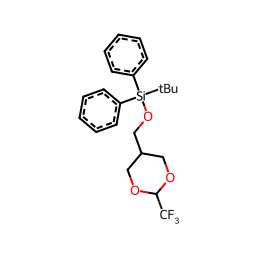 CC(C)(C)[Si](OCC1COC(C(F)(F)F)OC1)(c1ccccc1)c1ccccc1